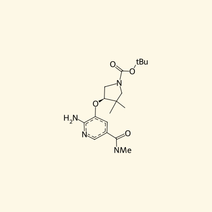 CNC(=O)c1cnc(N)c(O[C@H]2CN(C(=O)OC(C)(C)C)CC2(C)C)c1